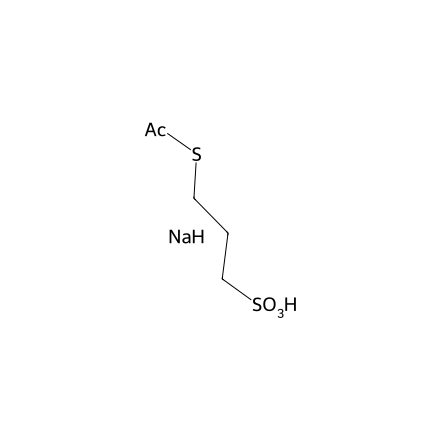 CC(=O)SCCCS(=O)(=O)O.[NaH]